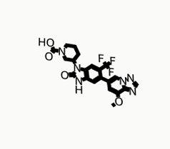 COc1cc(-c2cc3[nH]c(=O)n(C4CCCN(C(=O)O)C4)c3cc2C(F)(F)F)cn2ncnc12